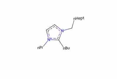 CCCCCCCCn1cc[n+](CCC)c1CCCC